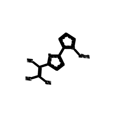 CCCCCn1cccc1-c1ccc(C(C#N)=C(C#N)C#N)s1